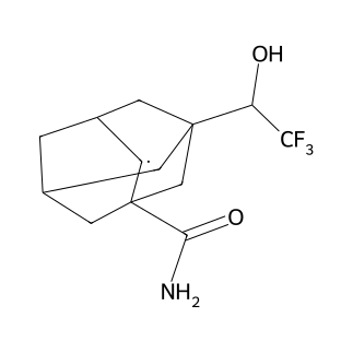 NC(=O)C12[CH]C3CC(C1)CC(C(O)C(F)(F)F)(C3)C2